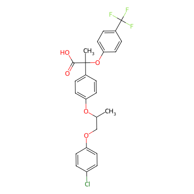 CC(COc1ccc(Cl)cc1)Oc1ccc(C(C)(Oc2ccc(C(F)(F)F)cc2)C(=O)O)cc1